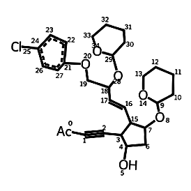 CC(=O)C#CC1C(O)CC(OC2CCCCO2)C1C=CC(COc1ccc(Cl)cc1)OC1CCCCO1